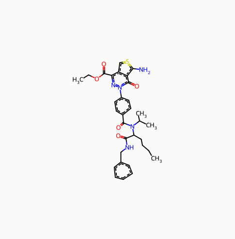 CCCCC(C(=O)NCc1ccccc1)N(C(=O)c1ccc(-n2nc(C(=O)OCC)c3csc(N)c3c2=O)cc1)C(C)C